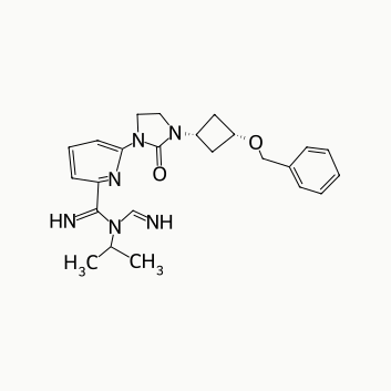 CC(C)N(C=N)C(=N)c1cccc(N2CCN([C@H]3C[C@@H](OCc4ccccc4)C3)C2=O)n1